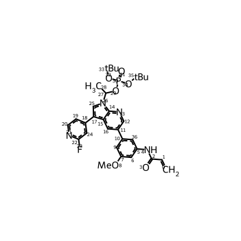 C=CC(=O)Nc1cc(OC)cc(-c2cnc3c(c2)c(-c2ccnc(F)c2)cn3C(C)OP(=O)(OC(C)(C)C)OC(C)(C)C)c1